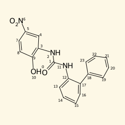 O=C(Nc1cc([N+](=O)[O-])ccc1O)Nc1ccccc1-c1ccccc1